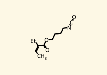 CC=C(CC)C(=O)OCCCCN=C=O